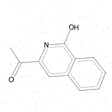 CC(=O)c1cc2ccccc2c(O)n1